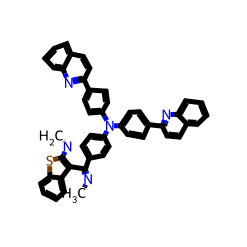 C=Nc1sc2ccccc2c1/C(=N\C)c1ccc(N(c2ccc(-c3ccc4ccccc4n3)cc2)c2ccc(-c3ccc4ccccc4n3)cc2)cc1